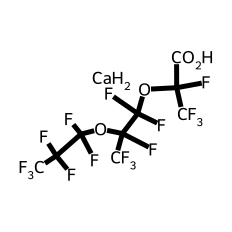 O=C(O)C(F)(OC(F)(F)C(F)(OC(F)(F)C(F)(F)C(F)(F)F)C(F)(F)F)C(F)(F)F.[CaH2]